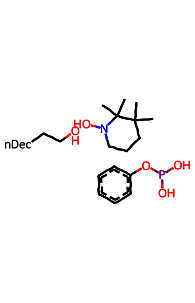 CC1(C)CCCN(O)C1(C)C.CCCCCCCCCCCCO.OP(O)Oc1ccccc1